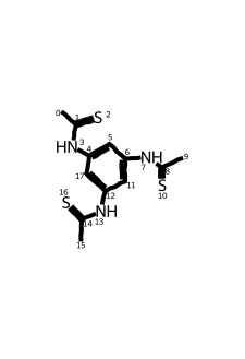 CC(=S)Nc1cc(NC(C)=S)cc(NC(C)=S)c1